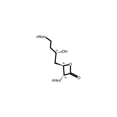 CCCCCCCCCCC[C@H](O)C[C@H]1OC(=O)[C@@H]1CCCCCC